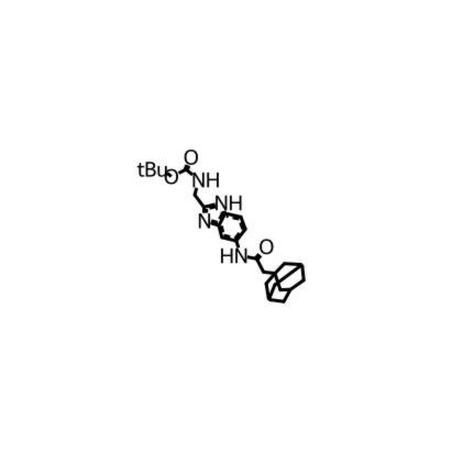 CC(C)(C)OC(=O)NCc1nc2cc(NC(=O)CC34CC5CC(CC(C5)C3)C4)ccc2[nH]1